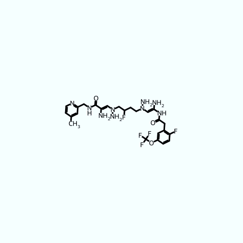 Cc1ccnc(CNC(=O)/C(N)=C/N(N)CC(F)CCN(N)/C=C(\N)NC(=O)Cc2cc(OC(F)(F)F)ccc2F)c1